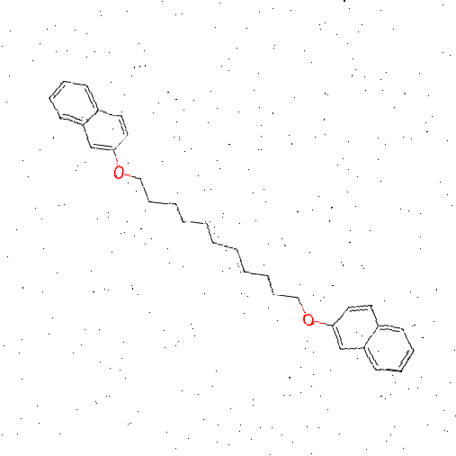 c1ccc2cc(OCCCCCCCCCCCOc3ccc4ccccc4c3)ccc2c1